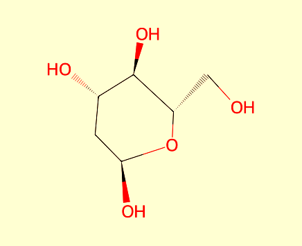 OC[C@@H]1O[C@@H](O)C[C@H](O)[C@H]1O